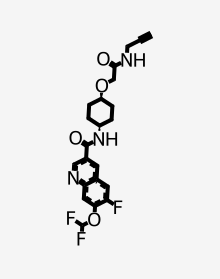 C#CCNC(=O)CO[C@H]1CC[C@H](NC(=O)c2cnc3cc(OC(F)F)c(F)cc3c2)CC1